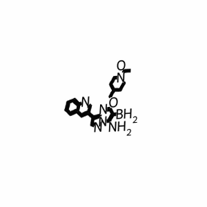 Bc1c(OCC2CCN(C(C)=O)CC2)nc2c(-c3cnc4ccccc4c3)cnn2c1N